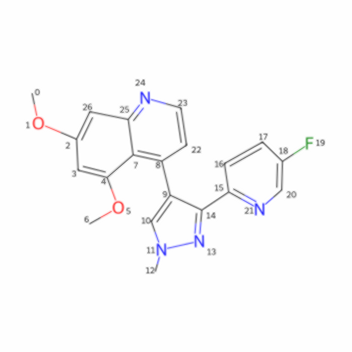 COc1cc(OC)c2c(-c3cn(C)nc3-c3ccc(F)cn3)ccnc2c1